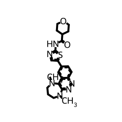 CN1CCCN(C)c2c1nnc1ccc(-c3cnc(NC(=O)C4CCOCC4)s3)cc21